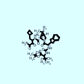 CC(C)(C)OC(=O)C(NC(=O)N[C@H](C(=O)N1C[C@H]2[C@@H]([C@H]1C(=O)NC(CC1CCC1)C(=O)C(N)=O)C2(C)C)C1Cc2ccccc2C1)C(C)(C)C